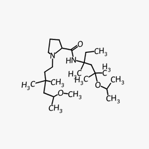 CCC(C)(CC(C)(C)OC(C)C)NC(=O)C1CCCN1CCC(C)(C)CC(C)OC